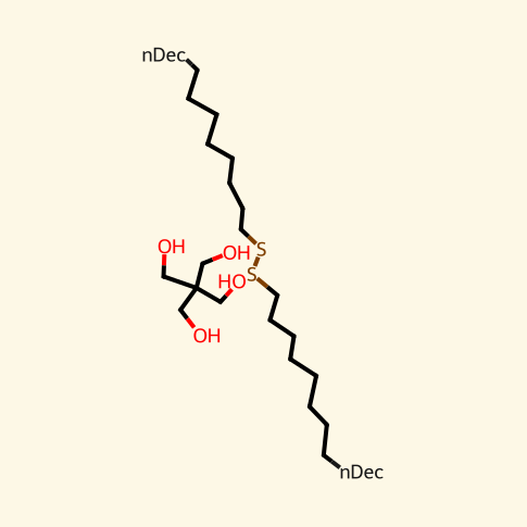 CCCCCCCCCCCCCCCCCCSSCCCCCCCCCCCCCCCCCC.OCC(CO)(CO)CO